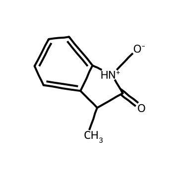 CC1C(=O)[NH+]([O-])c2ccccc21